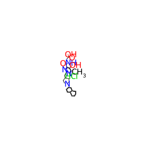 Cc1nc(CC2CCN(c3ccc4ccccc4c3)CC2)nc(C(=O)NCC(=O)O)c1O.Cl